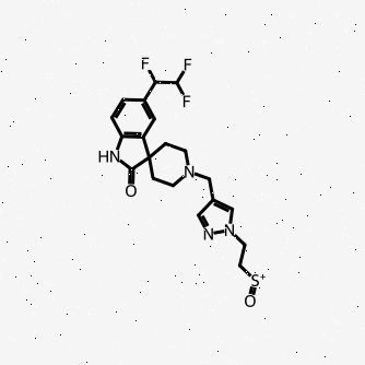 O=[S+]CCn1cc(CN2CCC3(CC2)C(=O)Nc2ccc(C(F)C(F)F)cc23)cn1